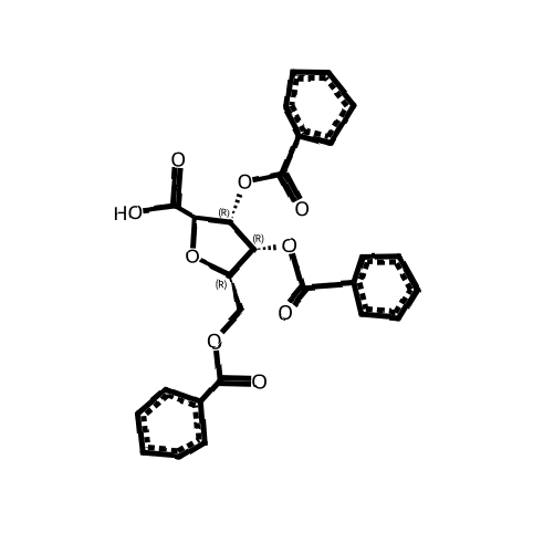 O=C(OC[C@H]1OC(C(=O)O)[C@H](OC(=O)c2ccccc2)[C@@H]1OC(=O)c1ccccc1)c1ccccc1